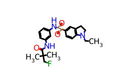 CCN1CCc2cc(S(=O)(=O)Nc3cccc(NC(=O)C(C)(C)CF)c3)ccc21